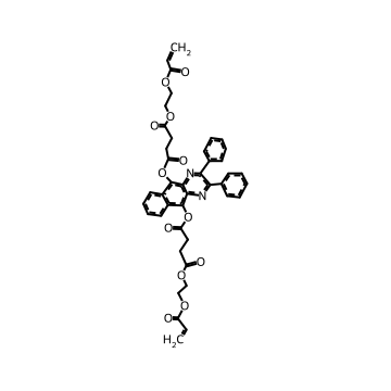 C=CC(=O)OCCOC(=O)CCC(=O)Oc1c2ccccc2c(OC(=O)CCC(=O)OCCOC(=O)C=C)c2nc(-c3ccccc3)c(-c3ccccc3)nc12